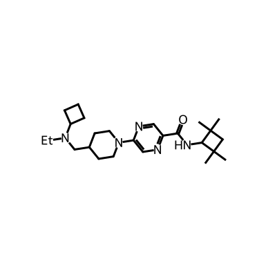 CCN(CC1CCN(c2cnc(C(=O)NC3C(C)(C)CC3(C)C)cn2)CC1)C1CCC1